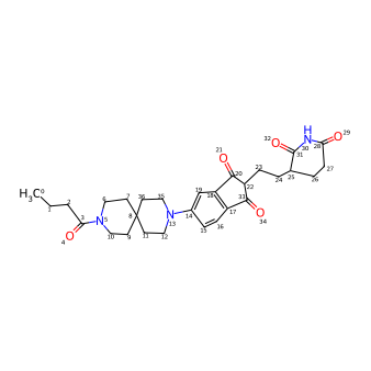 CCCC(=O)N1CCC2(CC1)CCN(c1ccc3c(c1)C(=O)C(CCC1CCC(=O)NC1=O)C3=O)CC2